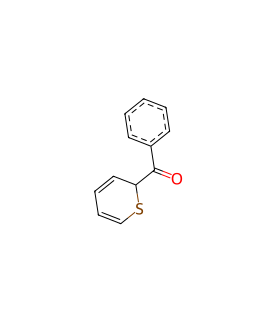 O=C(c1ccccc1)C1C=CC=CS1